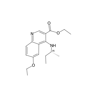 CCOC(=O)c1cnc2ccc(OCC)cc2c1N[C@H](C)CC